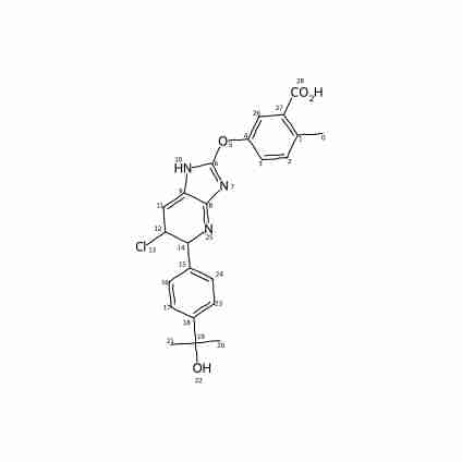 Cc1ccc(Oc2nc3c([nH]2)=CC(Cl)C(c2ccc(C(C)(C)O)cc2)N=3)cc1C(=O)O